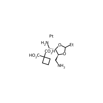 CCC1O[C@@H](CN)[C@H](CN)O1.O=C(O)C1(C(=O)O)CCC1.[Pt]